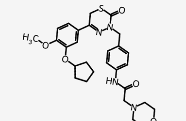 COc1ccc(C2=NN(Cc3ccc(NC(=O)CN4CCOCC4)cc3)C(=O)SC2)cc1OC1CCCC1